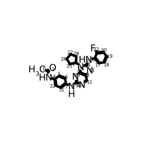 CC(=O)Nc1ccc(Nc2ncc3nc(Nc4ccccc4F)n(C4CCCC4)c3n2)cc1